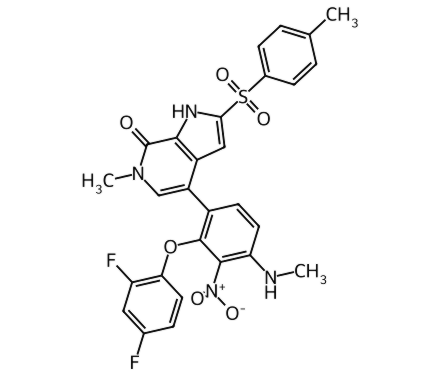 CNc1ccc(-c2cn(C)c(=O)c3[nH]c(S(=O)(=O)c4ccc(C)cc4)cc23)c(Oc2ccc(F)cc2F)c1[N+](=O)[O-]